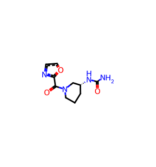 NC(=O)N[C@@H]1CCCN(C(=O)c2ncco2)C1